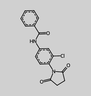 O=C(Nc1ccc(N2C(=O)CCC2=O)c(Cl)c1)c1ccccc1